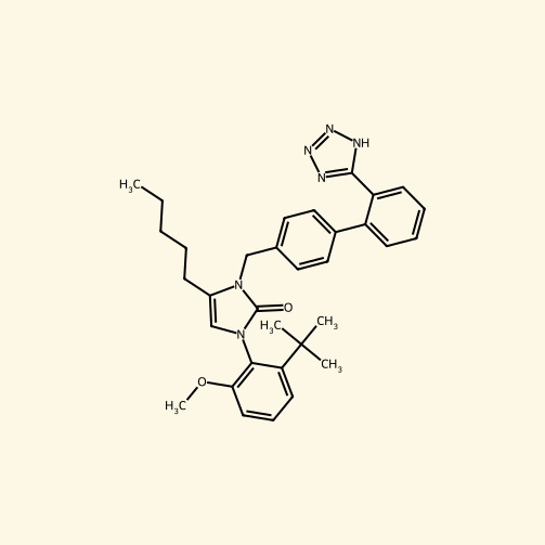 CCCCCc1cn(-c2c(OC)cccc2C(C)(C)C)c(=O)n1Cc1ccc(-c2ccccc2-c2nnn[nH]2)cc1